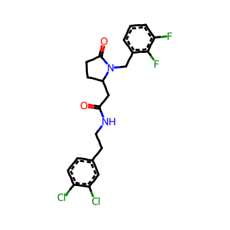 O=C(CC1CCC(=O)N1Cc1cccc(F)c1F)NCCc1ccc(Cl)c(Cl)c1